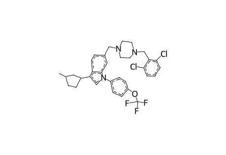 CC1CCC(c2cn(-c3ccc(OC(F)(F)F)cc3)c3cc(CN4CCN(Cc5c(Cl)cccc5Cl)CC4)ccc23)C1